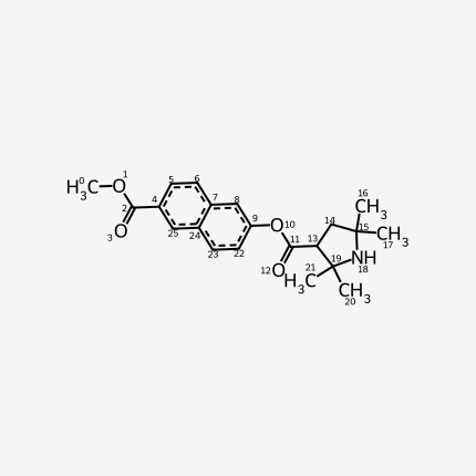 COC(=O)c1ccc2cc(OC(=O)C3CC(C)(C)NC3(C)C)ccc2c1